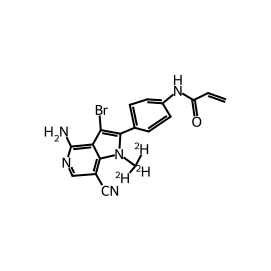 [2H]C([2H])([2H])n1c(-c2ccc(NC(=O)C=C)cc2)c(Br)c2c(N)ncc(C#N)c21